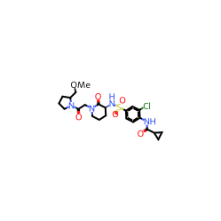 COCC1CCCN1C(=O)CN1CCC[C@H](NS(=O)(=O)c2ccc(NC(=O)C3CC3)c(Cl)c2)C1=O